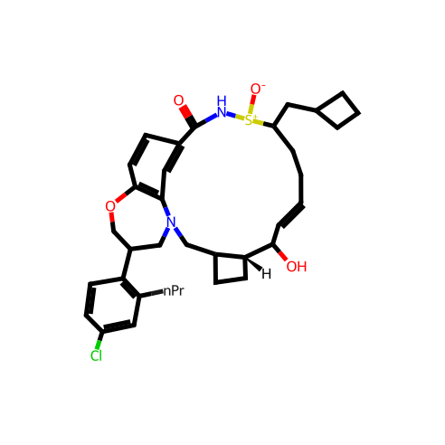 CCCc1cc(Cl)ccc1C1COc2ccc3cc2N(C1)CC1CC[C@H]1C(O)/C=C/CCC(CC1CCC1)[S+]([O-])NC3=O